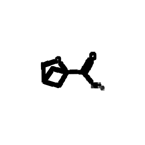 NC(=O)C12CC(CO1)C2